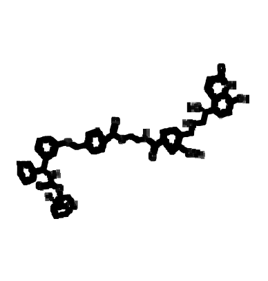 COc1cc(C(=O)NCCOC(=O)c2ccc(COc3cccc([C@@H](NC(=O)O[C@H]4CN5CCC4CC5)c4ccccc4)c3)cc2)ccc1CNC[C@H](O)c1ccc(O)c2[nH]c(=O)ccc12